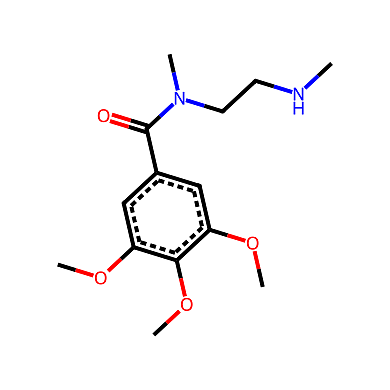 CNCCN(C)C(=O)c1cc(OC)c(OC)c(OC)c1